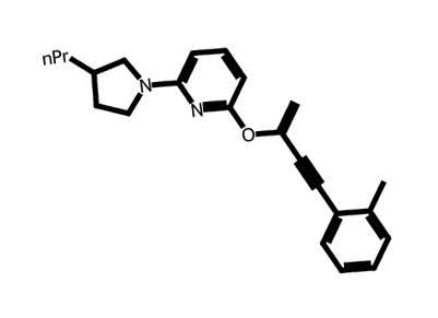 C=C(C#Cc1ccccc1C)Oc1cccc(N2CCC(CCC)C2)n1